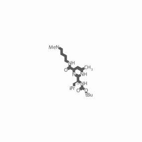 CNCCCCNC(=O)C1C=C(C)NC([C@H](CC(C)C)NC(=O)OC(C)(C)C)=N1